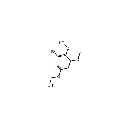 COC(CC(=O)OCO)C(=CO)OO